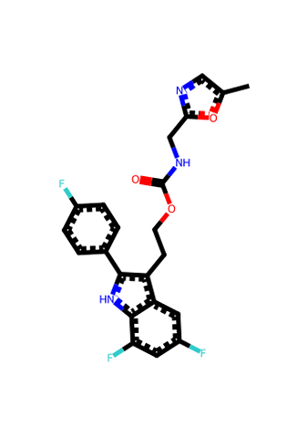 Cc1cnc(CNC(=O)OCCc2c(-c3ccc(F)cc3)[nH]c3c(F)cc(F)cc23)o1